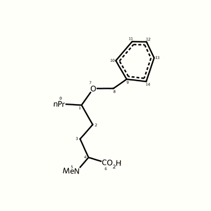 CCCC(CCC(NC)C(=O)O)OCc1ccccc1